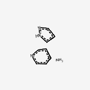 N.c1ccncc1.c1cn[nH]c1